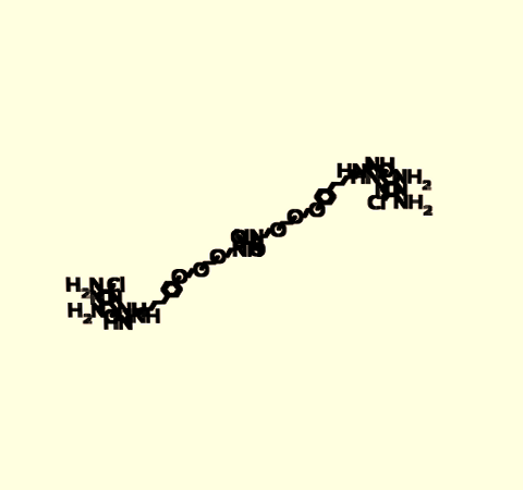 N=C(NCCCCc1ccc(OCCOCCOCCNC(=O)C(=O)NCCOCCOCCOc2ccc(CCCCNC(=N)NC(=O)c3nc(Cl)c(N)nc3N)cc2)cc1)NC(=O)c1nc(Cl)c(N)nc1N